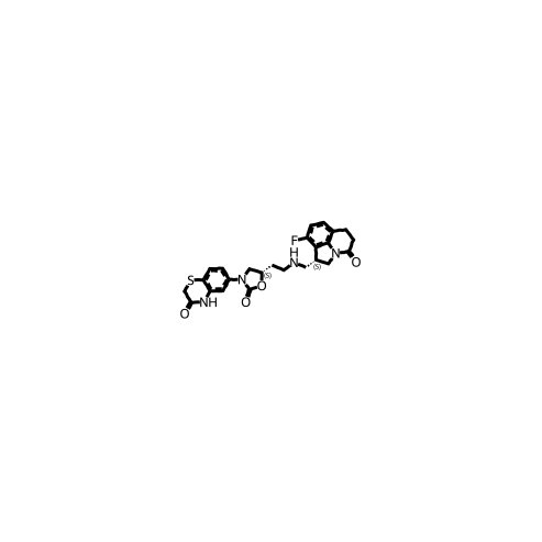 O=C1CSc2ccc(N3C[C@H](CCNC[C@H]4CN5C(=O)CCc6ccc(F)c4c65)OC3=O)cc2N1